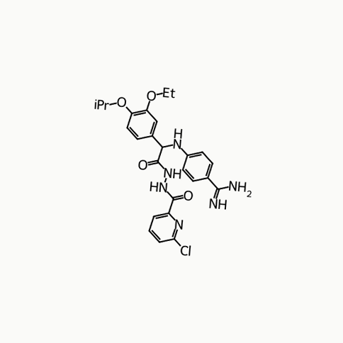 CCOc1cc(C(Nc2ccc(C(=N)N)cc2)C(=O)NNC(=O)c2cccc(Cl)n2)ccc1OC(C)C